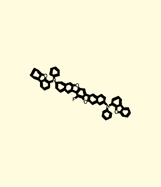 Fc1c2oc3cc4cc(N(c5ccccc5)c5cccc6c5oc5ccccc56)ccc4cc3c2cc2oc3cc4cc(N(c5ccccc5)c5cccc6c5oc5ccccc56)ccc4cc3c12